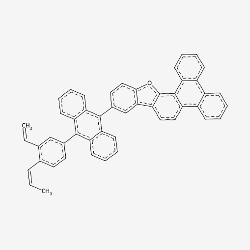 C=Cc1cc(-c2c3ccccc3c(-c3ccc4oc5c(ccc6c7ccccc7c7ccccc7c65)c4c3)c3ccccc23)ccc1/C=C\C